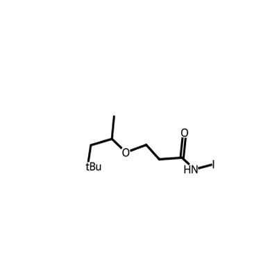 CC(CC(C)(C)C)OCCC(=O)NI